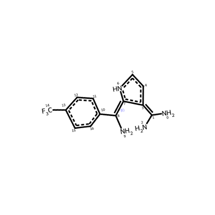 NC(N)=c1cc[nH]/c1=C(/N)c1ccc(C(F)(F)F)cc1